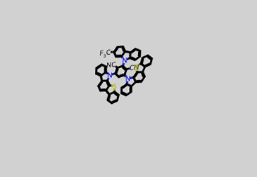 N#Cc1c(-n2c3ccccc3c3ccc4c5ccccc5sc4c32)cc(-n2c3ccccc3c3ccc4c5ccccc5sc4c32)c(C#N)c1-n1c2ccccc2c2ccc(C(F)(F)F)cc21